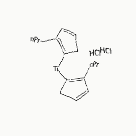 CCCC1=[C]([Ti][C]2=C(CCC)C=CC2)CC=C1.Cl.Cl